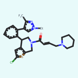 CCn1cc(-c2ccccc2C2CN(C(=O)/C=C/CN3CCCCC3)Cc3sc(Cl)cc32)c(C(F)(F)F)n1